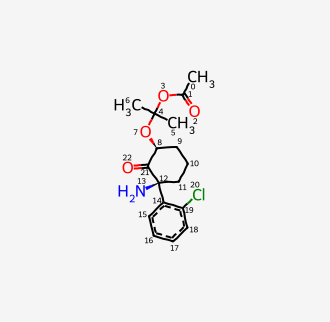 CC(=O)OC(C)(C)O[C@H]1CCC[C@](N)(c2ccccc2Cl)C1=O